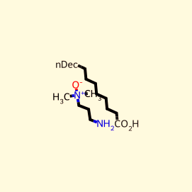 CCCCCCCCCCCCCCCCCC(=O)O.C[N+](C)([O-])CCCN